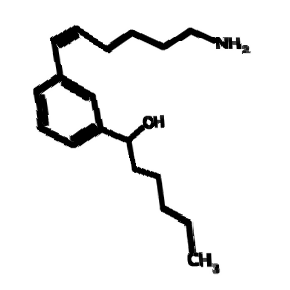 CCCCCC(O)c1cccc(/C=C\CCCCN)c1